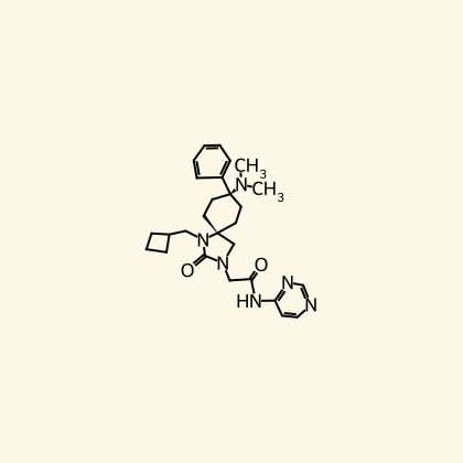 CN(C)[C@]1(c2ccccc2)CC[C@@]2(CC1)CN(CC(=O)Nc1ccncn1)C(=O)N2CC1CCC1